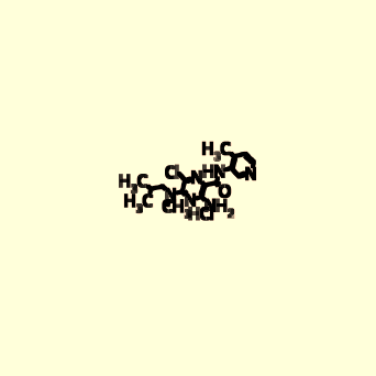 Cc1ccncc1NC(=O)c1nc(Cl)c(N(C)CC(C)C)nc1N.Cl